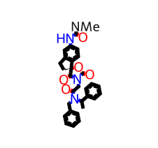 CNC(=O)Nc1ccc2c(c1)CC[C@@]21OC(=O)N(CC(=O)N(Cc2ccccc2)C(C)c2ccccc2)C1=O